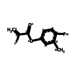 C=C(F)C(=O)Oc1ccc(F)c(C)c1